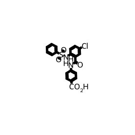 O=C(O)c1ccc(NC(=O)c2cc(Cl)ccc2NS(=O)(=O)c2ccccc2)cc1